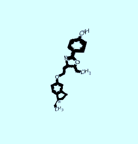 CCC1OC(c2ccc(O)cc2)=NC1CCOc1ccc2c(c1)CC[C@H]2CC